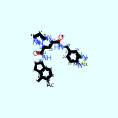 CC(=O)c1ccc2c(c1C)CC[C@@H]2NC(=O)c1cc(C(=O)NCc2ccc3nsnc3c2)nc2ccnn12